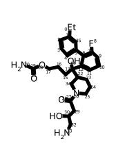 CCc1cccc(-c2c(F)cccc2C(O)(CCCOC(N)=O)C2CCCN(C(=O)CC(O)CN)C2)c1